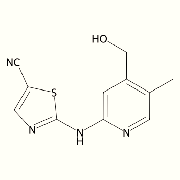 Cc1cnc(Nc2ncc(C#N)s2)cc1CO